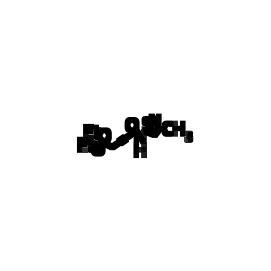 CCOC(CC#CC(=O)Nc1cc(C)ns1)OCC